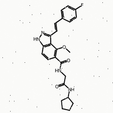 COc1c(C(=O)NCC(=O)NC2CCCC2)ccc2[nH]nc(C=Cc3ccc(F)cc3)c12